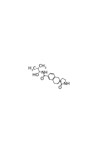 CC(C)C(O)NC(=O)c1ccc2c(c1)CC[C@]1(CCNC1=O)C2